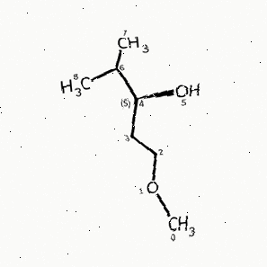 COCC[C@H](O)C(C)C